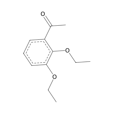 CCOc1cccc(C(C)=O)c1OCC